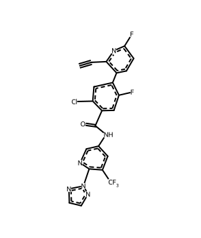 C#Cc1nc(F)ccc1-c1cc(Cl)c(C(=O)Nc2cnc(-n3nccn3)c(C(F)(F)F)c2)cc1F